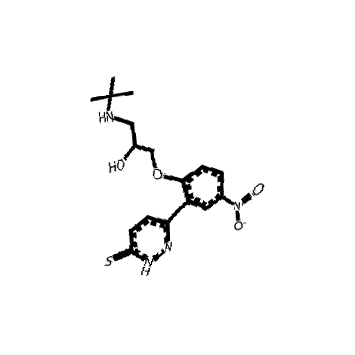 CC(C)(C)NCC(O)COc1ccc([N+](=O)[O-])cc1-c1ccc(=S)[nH]n1